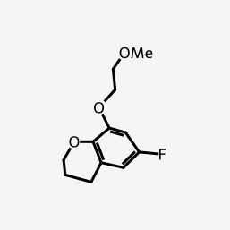 COCCOc1cc(F)cc2c1OCCC2